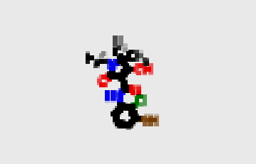 CN1C(=O)C(C(=O)Nc2cccc(S)c2Cl)=C(O)C1(C)C